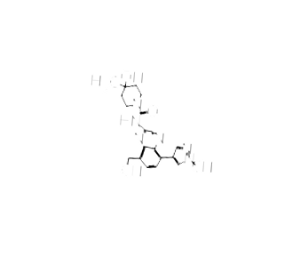 CCc1ccc(-c2cnn(C)c2)c2ncc(NC(=O)N3CCC(C)(O)CC3)nc12